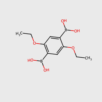 CCOc1cc(B(O)O)c(OCC)cc1B(O)O